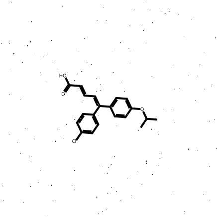 CC(C)Oc1ccc(C(=CC=CC(=O)O)c2ccc(Cl)cc2)cc1